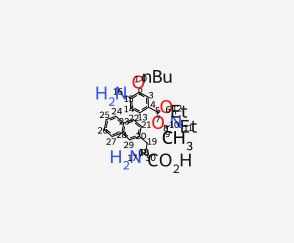 CCCCOc1cc(C(=O)OC(C)N(CC)CC)ccc1N.N[C@H](Cc1ccc2ccccc2c1)C(=O)O